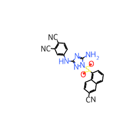 N#Cc1ccc2c(S(=O)(=O)n3nc(Nc4ccc(C#N)c(C#N)c4)nc3N)cccc2c1